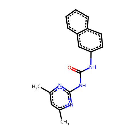 Cc1cc(C)nc(NC(=O)Nc2ccc3ccccc3c2)n1